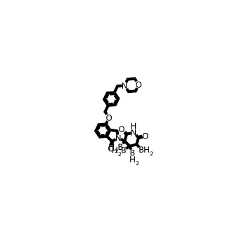 BC1C(=O)NC(=O)C(B)(N2Cc3c(OCc4ccc(CN5CCOCC5)cc4)cccc3C2=O)C1(B)B